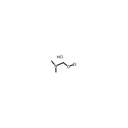 CCOCN(C)C.Cl